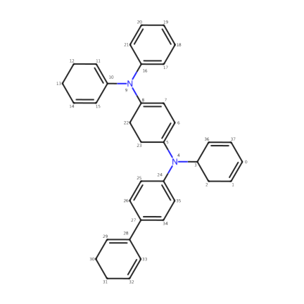 C1=CCC(N(C2=CC=C(N(C3=CCCC=C3)c3ccccc3)CC2)c2ccc(C3=CCCC=C3)cc2)C=C1